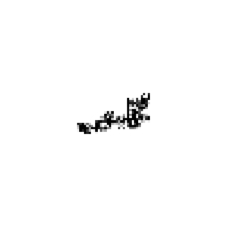 [N-]=[N+]=NCCN1CCN(C(=O)CCC(=O)Nc2cccc3c2CN(C2CCC(=O)NC2=O)C3=O)CC1